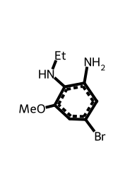 CCNc1c(N)cc(Br)cc1OC